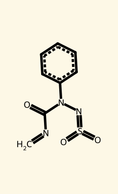 C=NC(=O)N(N=S(=O)=O)c1ccccc1